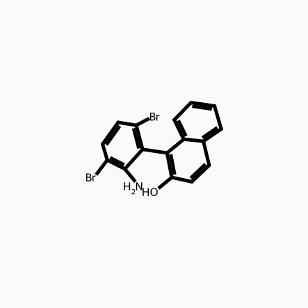 Nc1c(Br)ccc(Br)c1-c1c(O)ccc2ccccc12